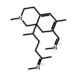 C/N=C\C1=C(C)C=C2CCN(C)CC2(C(C)CC/C(C)=N\C)C1